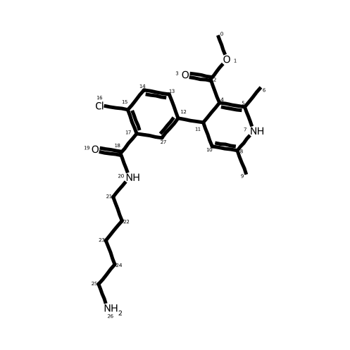 COC(=O)C1=C(C)NC(C)=CC1c1ccc(Cl)c(C(=O)NCCCCCN)c1